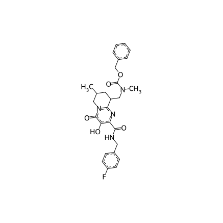 CC1CC(CN(C)C(=O)OCc2ccccc2)c2nc(C(=O)NCc3ccc(F)cc3)c(O)c(=O)n2C1